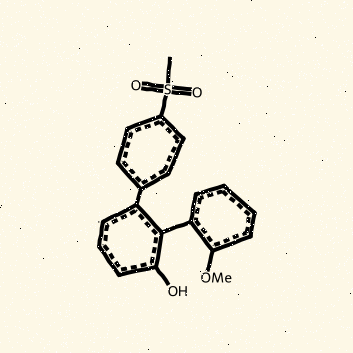 COc1ccccc1-c1c(-c2ccc(S(C)(=O)=O)cc2)[c]ccc1O